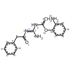 C=C(N/C(N)=N/C(=O)Cc1ccccc1)Oc1ccccc1N